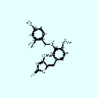 CNC1=NC(=O)SC1=Cc1ccc(OC)c(OCc2ccc(C(F)(F)F)cc2C(F)(F)F)c1